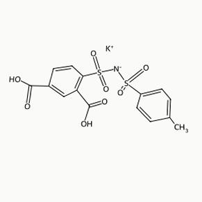 Cc1ccc(S(=O)(=O)[N-]S(=O)(=O)c2ccc(C(=O)O)cc2C(=O)O)cc1.[K+]